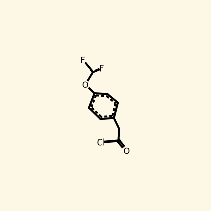 O=C(Cl)Cc1ccc(OC(F)F)cc1